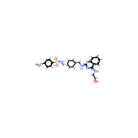 Cc1ccc(S(=O)(=O)NC[C@H]2CC[C@H](CNc3nc(NCCO)c4ccccc4n3)CC2)cc1